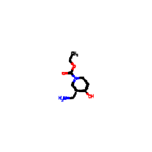 CCOC(=O)N1CC[C@@H](O)[C@@H](CN)C1